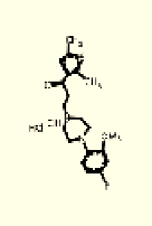 COc1cc(F)ccc1N1CCN(CCC(=O)c2cc(C)sc2C)CC1.Cl.Cl